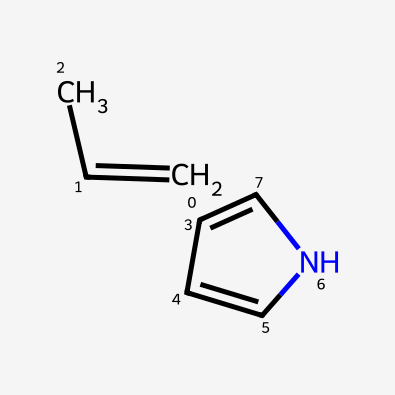 C=CC.c1cc[nH]c1